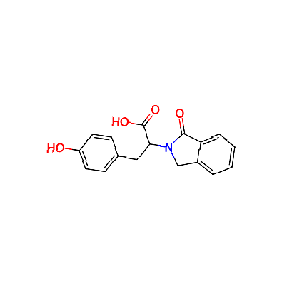 O=C(O)C(Cc1ccc(O)cc1)N1Cc2ccccc2C1=O